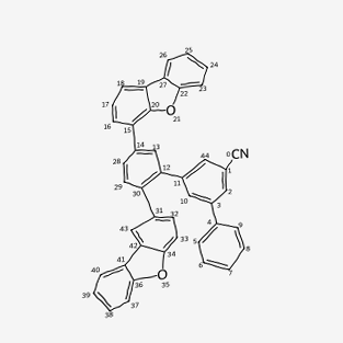 N#Cc1cc(-c2ccccc2)cc(-c2cc(-c3cccc4c3oc3ccccc34)ccc2-c2ccc3oc4ccccc4c3c2)c1